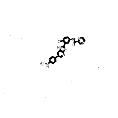 CNc1ccc(-c2cnc3nc(-c4cc(NC(=O)c5cnccn5)ccc4Cl)[nH]c3c2)cc1